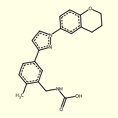 Cc1ccc(-c2ccn(-c3ccc4c(c3)CCCO4)n2)cc1CNC(=O)O